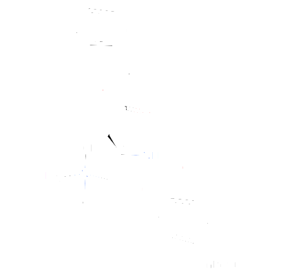 CCCCCc1ccc(S(=O)(=O)N[C@H](CC(=O)OCc2ccccc2)C[N+](C)(C)C)cc1.[I-]